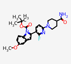 COc1ccc2c(c1)cc(-c1ccc(N3CCC(C(N)=O)CC3)nc1F)n2C(=O)OC(C)(C)C